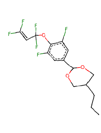 CCCC1COC(c2cc(F)c(OC(F)(F)C=C(F)F)c(F)c2)OC1